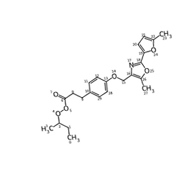 CCC(C)OOC(=O)CCc1ccc(OCc2nc(-c3ccc(C)o3)oc2C)cc1